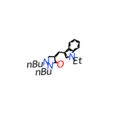 CCCCN1C/C(=C/c2cn(CC)c3ccccc23)C(=O)N1CCCC